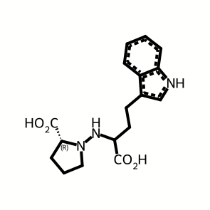 O=C(O)C(CCc1c[nH]c2ccccc12)NN1CCC[C@@H]1C(=O)O